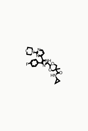 CC1(C(=O)NC2CC2)COC(c2nc(-c3ccc(F)cc3)c(-c3ccnc(N4CCCCC4)n3)[nH]2)OC1